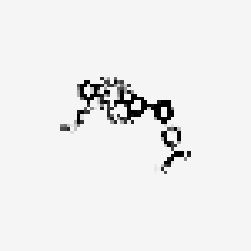 C#CC(=O)N1CCN(c2cccc(-c3cc(OC)c4c(NS(=O)(=O)c5c(OC)cccc5OCCO)noc4c3)c2)CC1